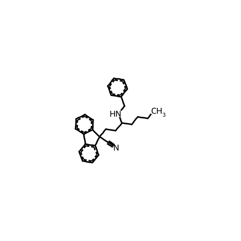 CCCCC(CCC1(C#N)c2ccccc2-c2ccccc21)NCc1ccccc1